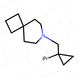 CC(C)C1(CN2CCC3(CCC3)CC2)CC1